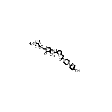 C[Si](C)(C)CCOCn1ncc(NCC2CCC(CC(=O)N3CCN(c4ccc(C#N)cn4)CC3)O2)c(C(F)(F)F)c1=O